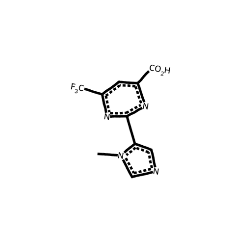 Cn1cncc1-c1nc(C(=O)O)cc(C(F)(F)F)n1